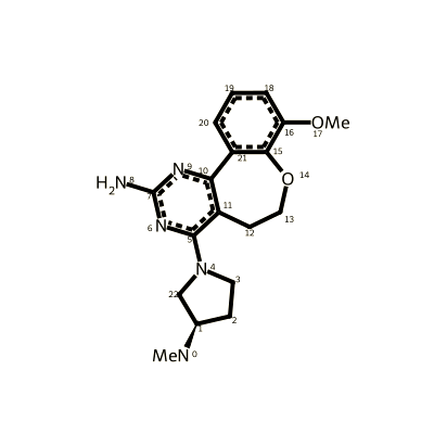 CN[C@@H]1CCN(c2nc(N)nc3c2CCOc2c(OC)cccc2-3)C1